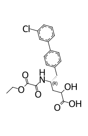 CCOC(=O)C(=O)N[C@H](Cc1ccc(-c2cccc(Cl)c2)cc1)CC(O)C(=O)O